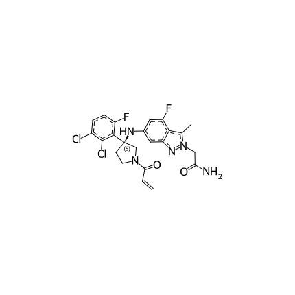 C=CC(=O)N1CC[C@](Nc2cc(F)c3c(C)n(CC(N)=O)nc3c2)(c2c(F)ccc(Cl)c2Cl)C1